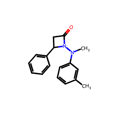 Cc1cccc(N(C)N2C(=O)CC2c2ccccc2)c1